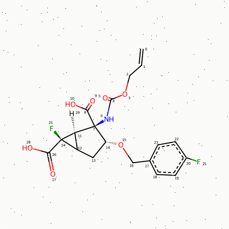 C=CCOC(=O)N[C@]1(C(=O)O)[C@H]2C(C[C@H]1OCc1ccc(F)cc1)[C@]2(F)C(=O)O